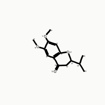 COc1cc2c(cc1OC)C(=O)CC(C(C)C)O2